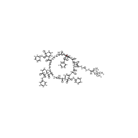 CC(C)(C)OC(=O)NCCOCCNC(=O)C1CNC(=O)c2ccc(c(=O)n2OCc2ccccc2)C(=O)NCCCN(C(=O)c2cccc(=O)n2OCc2ccccc2)CCCCN(C(=O)c2cccc(=O)n2OCc2ccccc2)CCCNC(=O)c2ccc(n(OCc3ccccc3)c2=O)C(=O)N1